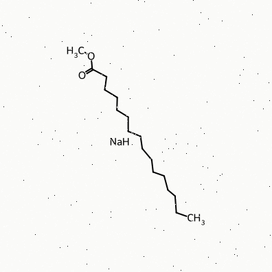 CCCCCCCCCCCCCCCC(=O)OC.[NaH]